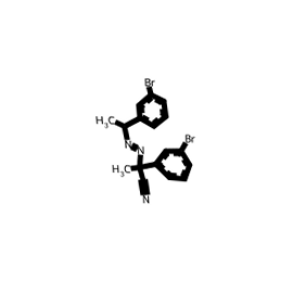 CC(/N=N/C(C)(C#N)c1cccc(Br)c1)c1cccc(Br)c1